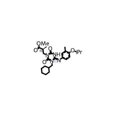 COC(=O)[C@@H](C)Cn1c(=O)[nH]/c(=N\c2ccc(OC(C)C)c(C)c2)n(CC2CCCCC2)c1=O